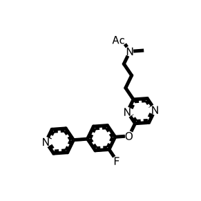 CC(=O)N(C)CCCc1cncc(Oc2ccc(-c3ccncc3)cc2F)n1